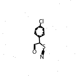 N#CSC(C=O)c1ccc(Cl)cc1